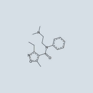 CCc1noc(C)c1C(=O)N(CCN(C)C)c1ccccc1